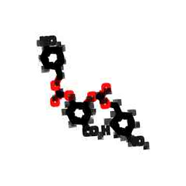 O=C(OCc1ccc([N+](=O)[O-])cc1)Oc1ccc(C(=O)O)cc1OC(=O)OCc1ccc([N+](=O)[O-])cc1